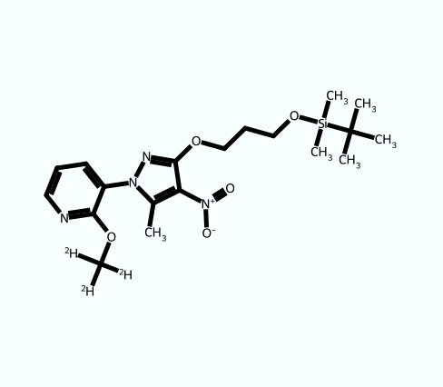 [2H]C([2H])([2H])Oc1ncccc1-n1nc(OCCCO[Si](C)(C)C(C)(C)C)c([N+](=O)[O-])c1C